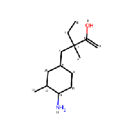 C=C(O)C(C)(CC)CC1CCC(N)C(C)C1